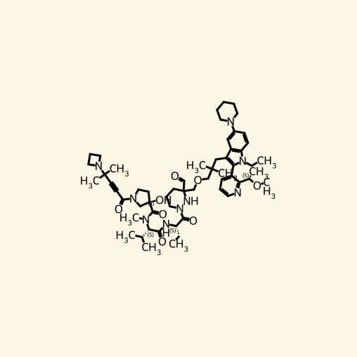 CC[C@H](NC(=O)[C@H](C(C)C)N(C)C(=O)[C@@]1(O)CCN(C(=O)C#CC(C)(C)N2CCC2)C1)C(=O)N1CCCC(C=O)(COCC(C)(C)Cc2c(-c3cccnc3[C@H](C)OC)n(CC)c3ccc(N4CCCCC4)cc23)N1